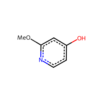 COc1cc(O)ccn1